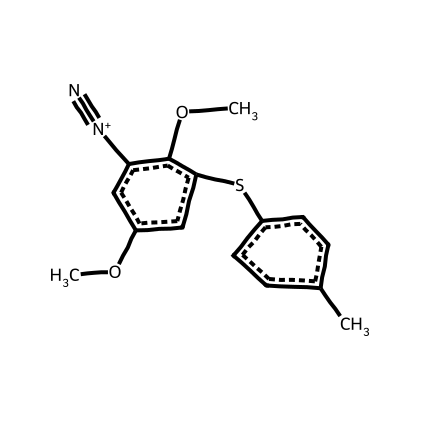 COc1cc([N+]#N)c(OC)c(Sc2ccc(C)cc2)c1